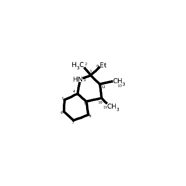 CCC1(C)NC2CCCCC2C(C)C1C